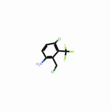 Nc1ccc(Cl)c(C(F)(F)F)c1CCl